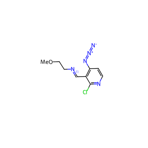 COCC/N=C/c1c(N=[N+]=[N-])ccnc1Cl